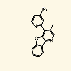 Cc1cnc2c(oc3ccccc32)c1-c1cc(C(C)C)ccn1